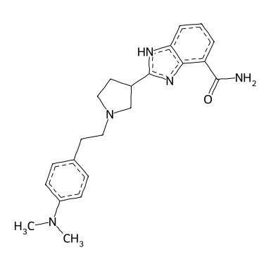 CN(C)c1ccc(CCN2CCC(c3nc4c(C(N)=O)cccc4[nH]3)C2)cc1